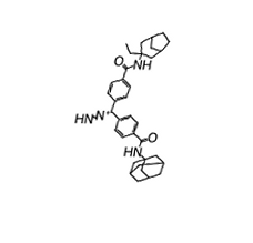 CCC1(NC(=O)c2ccc(C(=[N+]=N)c3ccc(C(=O)NC45CC6CC(CC(C6)C4)C5)cc3)cc2)CC2CCC(C2)C1